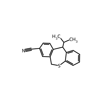 CC(C)C1c2ccc(C#N)cc2CSc2ccccc21